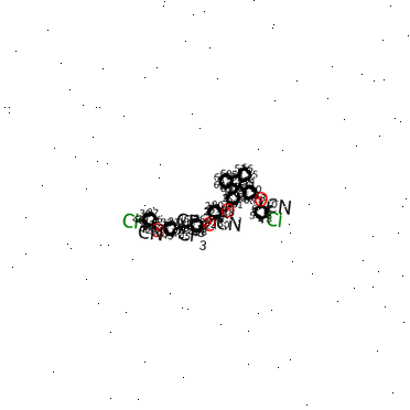 N#Cc1c(Cl)cccc1Oc1ccc(C2(c3ccc(Oc4cccc(Oc5ccc(C(c6ccc(Oc7cccc(Cl)c7C#N)cc6)(C(F)(F)F)C(F)(F)F)cc5)c4C#N)cc3)c3ccccc3-c3ccccc32)cc1